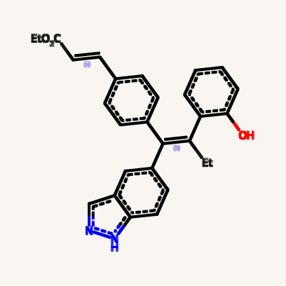 CCOC(=O)/C=C/c1ccc(/C(=C(/CC)c2ccccc2O)c2ccc3[nH]ncc3c2)cc1